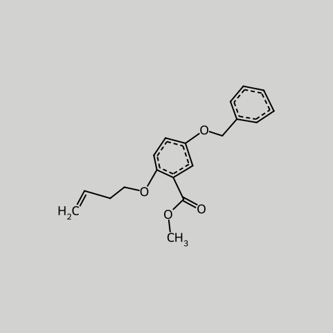 C=CCCOc1ccc(OCc2ccccc2)cc1C(=O)OC